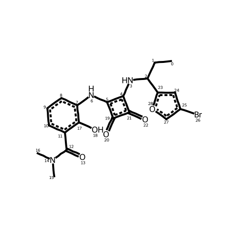 CCC(Nc1c(Nc2cccc(C(=O)N(C)C)c2O)c(=O)c1=O)c1cc(Br)co1